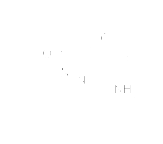 NC(=O)c1nn(-c2ccccc2)c(=O)cc1Cl